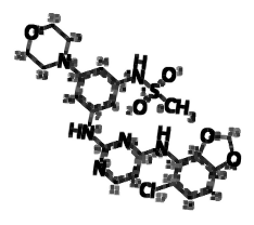 CS(=O)(=O)Nc1cc(Nc2nccc(Nc3c(Cl)ccc4c3OCO4)n2)cc(N2CCOCC2)c1